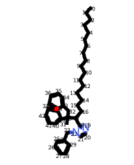 CCCCCCCCCCCCCCCCCC(c1nccn1Cc1ccccc1)C(C)(Cc1ccccc1)c1ccccc1